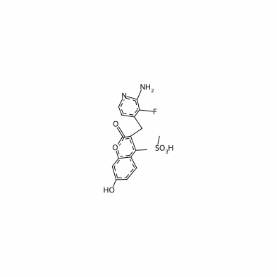 CS(=O)(=O)O.Cc1c(Cc2ccnc(N)c2F)c(=O)oc2cc(O)ccc12